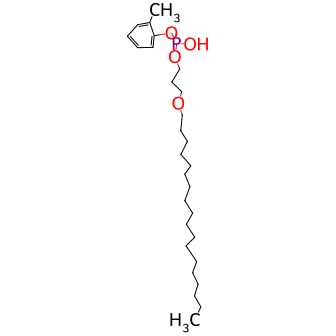 CCCCCCCCCCCCCCCCCCOCCCOP(O)Oc1ccccc1C